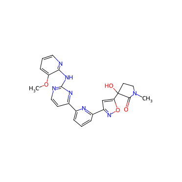 COc1cccnc1Nc1nccc(-c2cccc(-c3cc(C4(O)CCN(C)C4=O)on3)n2)n1